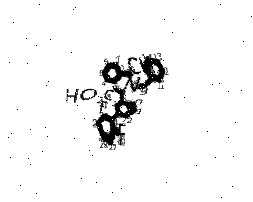 C[C@H](c1ccccc1)N(Cc1ccccc1)C(CC(=O)O)c1cccc(-c2c(F)cccc2F)c1